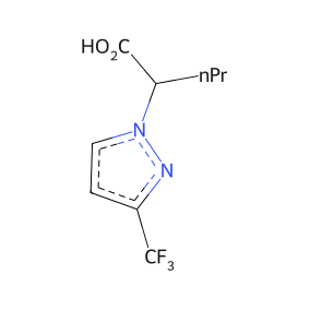 CCCC(C(=O)O)n1ccc(C(F)(F)F)n1